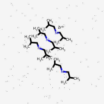 CC(C)C[N-]CC(C)C.CC(C)C[N-]CC(C)C.CC(C)C[N-]CC(C)C.CC(C)C[N-]CC(C)C.[Zr+4]